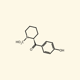 O=C(c1ccc(O)cc1)[C@@H]1CCCCN1C(=O)O